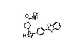 CCNC(=O)[C@H]1CCC(n2[nH]cc2-c2ccc(-c3nc4ccccc4o3)cc2)C1